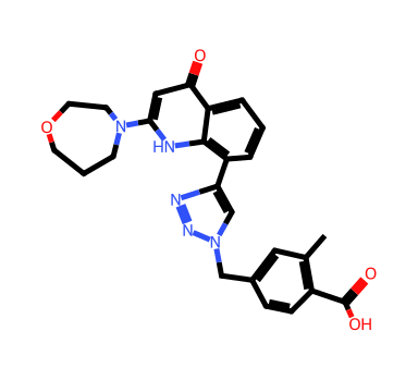 Cc1cc(Cn2cc(-c3cccc4c(=O)cc(N5CCCOCC5)[nH]c34)nn2)ccc1C(=O)O